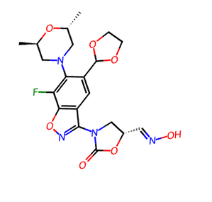 C[C@@H]1CN(c2c(C3OCCO3)cc3c(N4C[C@H](/C=N/O)OC4=O)noc3c2F)C[C@@H](C)O1